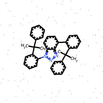 CC(C)(c1ccccc1)c1ccccc1-c1cccc2c1nnn2-c1ccccc1C(C)(C)c1ccccc1